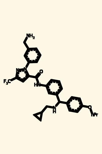 CCCOc1ccc(C(NCC2CC2)c2cccc(NC(=O)c3cc(C(F)(F)F)nn3-c3cccc(CN)c3)c2)cc1